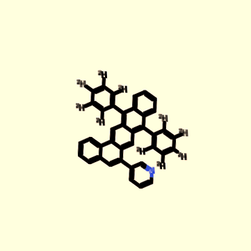 [2H]c1c([2H])c([2H])c(-c2c3ccccc3c(-c3c([2H])c([2H])c([2H])c([2H])c3[2H])c3cc4c(cc23)c(-c2cccnc2)cc2ccccc24)c([2H])c1[2H]